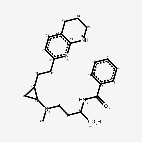 CN(CCC(NC(=O)c1ccccc1)C(=O)O)C1CC1CCc1ccc2c(n1)NCCC2